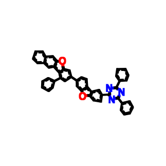 c1ccc(-c2nc(-c3ccccc3)nc(-c3ccc4oc5cc(-c6cc(-c7ccccc7)c7c(c6)oc6cc8ccccc8cc67)ccc5c4c3)n2)cc1